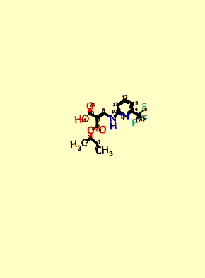 CCC(C)OC(=O)C(=CNc1cccc(C(F)(F)F)n1)C(=O)O